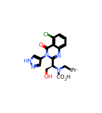 C[C](C)CN(C(=O)O)[C@@H](CO)c1nc2cccc(Cl)c2c(=O)n1-c1cn[nH]c1